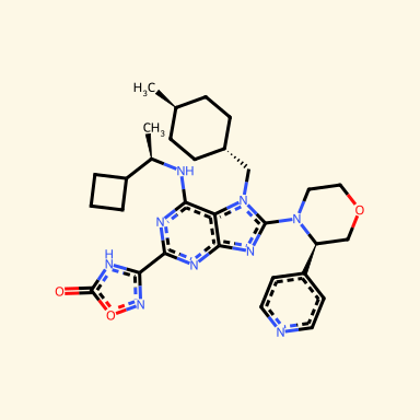 C[C@@H](Nc1nc(-c2noc(=O)[nH]2)nc2nc(N3CCOC[C@H]3c3ccncc3)n(C[C@H]3CC[C@H](C)CC3)c12)C1CCC1